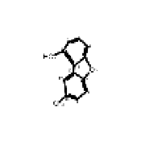 Oc1cccc2oc3ccc(Cl)cc3c12